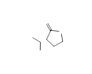 ClCCl.O=C1CCCO1